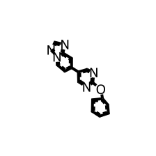 c1ccc(Oc2ncc(-c3ccn4ncnc4c3)cn2)cc1